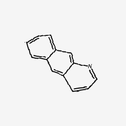 [c]1ccc2cc3ncccc3cc2c1